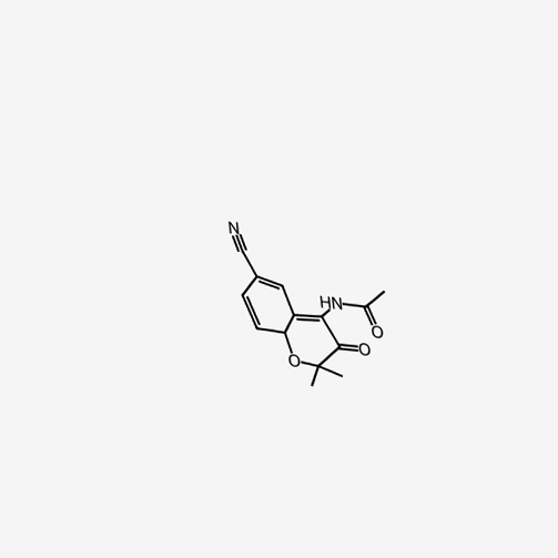 CC(=O)NC1=C2C=C(C#N)C=CC2OC(C)(C)C1=O